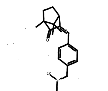 C[S+]([O-])Cc1ccc(/C=C2\C(=O)C3(C)CCC2C3(C)C)cc1